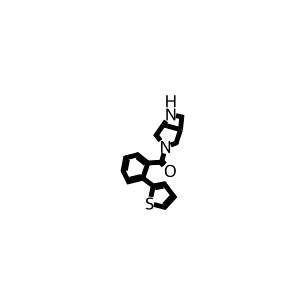 O=C(c1ccccc1-c1cccs1)N1CC2CNC2C1